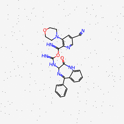 N#Cc1cnc(C(=N)OC(=N)NC2N=C(c3ccccc3)c3ccccc3NC2=O)c(N2CCOCC2)c1